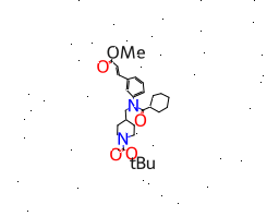 COC(=O)C=Cc1cccc(N(CC2CCN(C(=O)OC(C)(C)C)CC2)C(=O)C2CCCCC2)c1